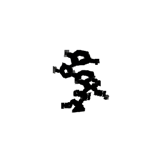 Nc1nn2ccc(N3C[C@@H](F)C[C@@H]3c3cc(F)ccc3F)nc2c1C(=O)NC1(CO)CC1